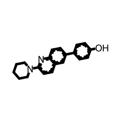 Oc1ccc(-c2ccc3nc(N4CCCCC4)ccc3c2)cc1